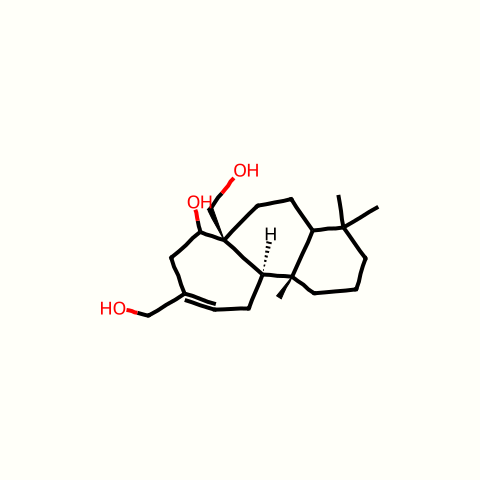 CC1(C)CCC[C@@]2(C)C1CC[C@@]1(CO)C(O)CC(CO)=CC[C@@H]12